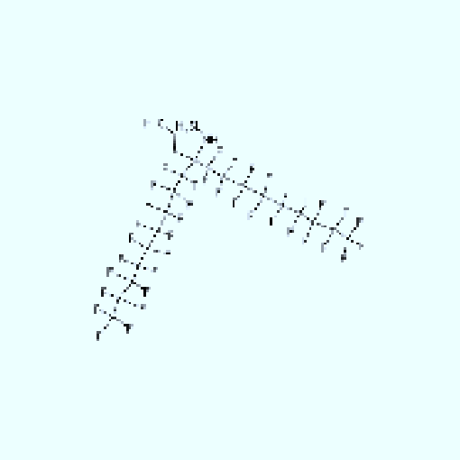 CCCC(N[SiH3])(C(F)(F)C(F)(F)C(F)(F)C(F)(F)C(F)(F)C(F)(F)C(F)(F)C(F)(F)C(F)(F)F)C(F)(F)C(F)(F)C(F)(F)C(F)(F)C(F)(F)C(F)(F)C(F)(F)C(F)(F)C(F)(F)F